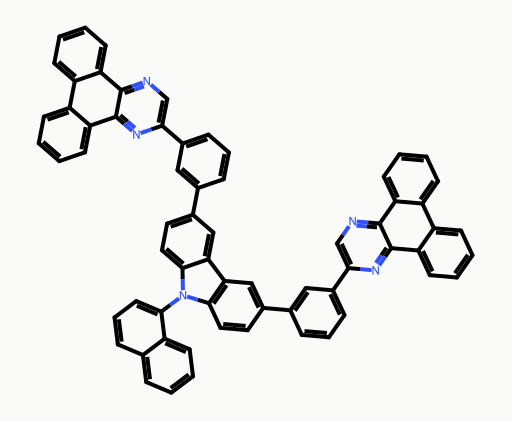 c1cc(-c2ccc3c(c2)c2cc(-c4cccc(-c5cnc6c7ccccc7c7ccccc7c6n5)c4)ccc2n3-c2cccc3ccccc23)cc(-c2cnc3c4ccccc4c4ccccc4c3n2)c1